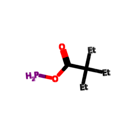 CCC(CC)(CC)C(=O)OP